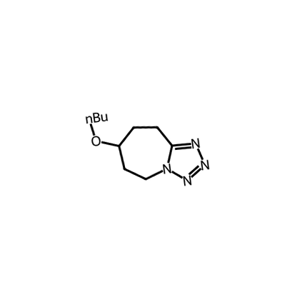 CCCCOC1CCc2nnnn2CC1